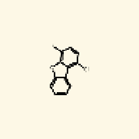 Fc1ccc(Cl)c2c1oc1ccccc12